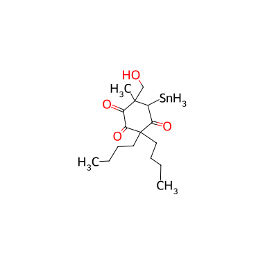 CCCCC1(CCCC)C(=O)C(=O)C(C)(CO)[CH]([SnH3])C1=O